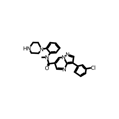 CN(C(=O)c1cnc2c(-c3cccc(Cl)c3)cnn2c1)c1ccccc1N1CCNCC1